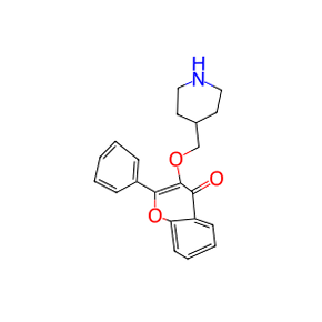 O=c1c(OCC2CCNCC2)c(-c2ccccc2)oc2ccccc12